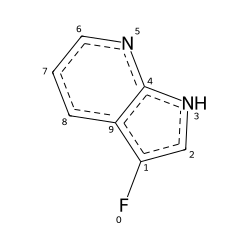 Fc1c[nH]c2ncccc12